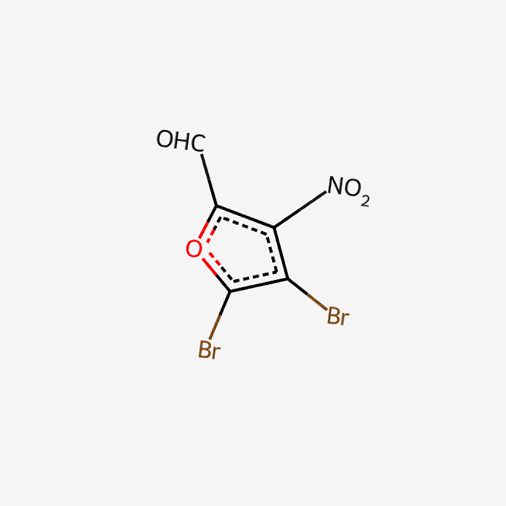 O=Cc1oc(Br)c(Br)c1[N+](=O)[O-]